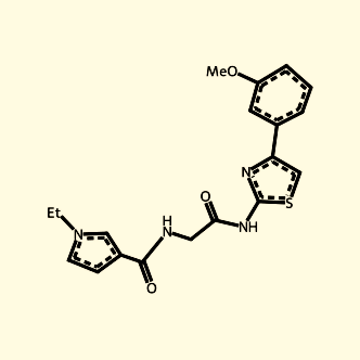 CCn1ccc(C(=O)NCC(=O)Nc2nc(-c3cccc(OC)c3)cs2)c1